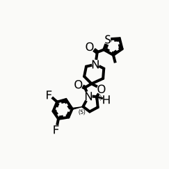 Cc1ccsc1C(=O)N1CCC2(CC1)O[C@@H]1CC[C@@H](c3cc(F)cc(F)c3)N1C2=O